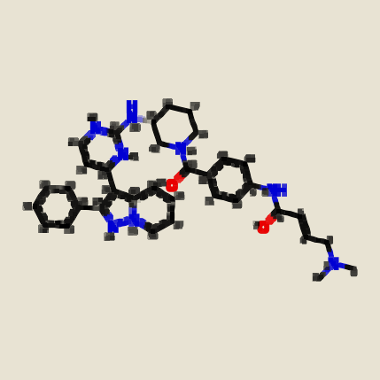 CN(C)C/C=C/C(=O)Nc1ccc(C(=O)N2CCC[C@@H](Nc3nccc(-c4c(-c5ccccc5)nn5ccccc45)n3)C2)cc1